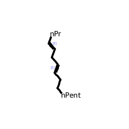 [CH2]CCCCCC/C=C/C/C=C/CCC